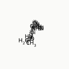 C=C(C)COC(=O)NC[C@H]1CC[C@H](CNC(=O)c2cc(-c3ccncc3)nc3ccccc23)CC1